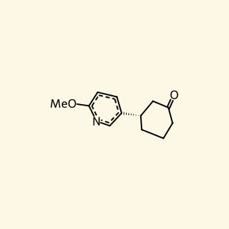 COc1ccc([C@H]2CCCC(=O)C2)cn1